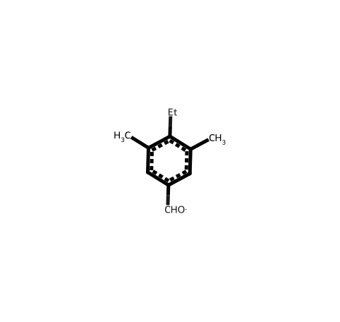 CCc1c(C)cc([C]=O)cc1C